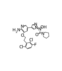 Nc1ncc(-c2cnn(N(O)C(=O)N3CCCCC3)c2)cc1OCCc1c(Cl)ccc(F)c1Cl